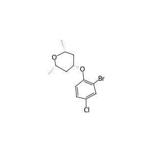 C[C@@H]1C[C@H](Oc2ccc(Cl)cc2Br)C[C@H](C)O1